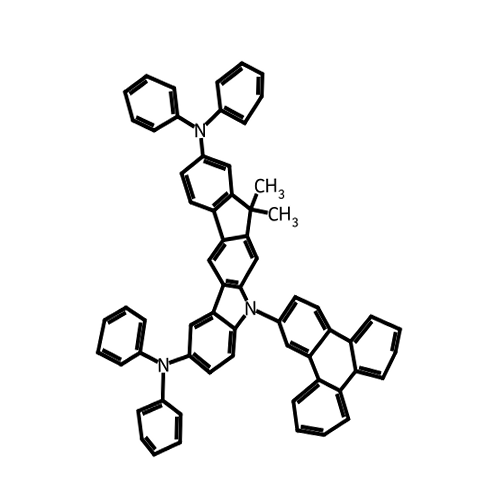 CC1(C)c2cc(N(c3ccccc3)c3ccccc3)ccc2-c2cc3c4cc(N(c5ccccc5)c5ccccc5)ccc4n(-c4ccc5c6ccccc6c6ccccc6c5c4)c3cc21